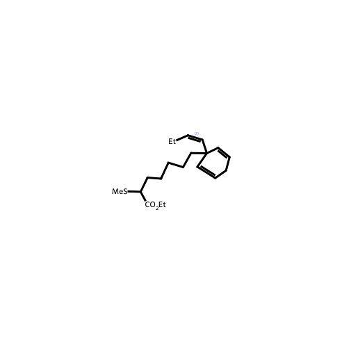 CC/C=C\C1(CCCCCC(SC)C(=O)OCC)C=CCC=C1